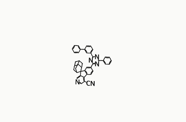 N#Cc1cncc2c1-c1ccc(-c3nc(-c4ccccc4)nc(-c4cccc(-c5ccccc5)c4)n3)cc1C21C2CC3CC(C2)CC1C3